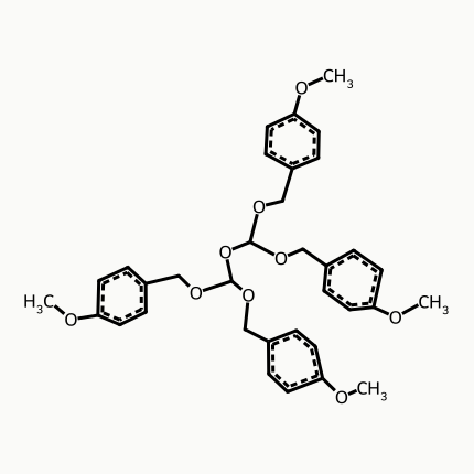 COc1ccc(COC(OCc2ccc(OC)cc2)OC(OCc2ccc(OC)cc2)OCc2ccc(OC)cc2)cc1